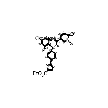 CCOC(=O)c1ccc(-c2ccc([C@@H](C/C(=N\O)c3ccc(=O)n(C)c3)c3ccc(Cl)cc3F)cc2)s1